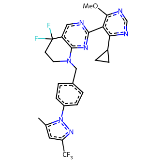 COc1ncnc(C2CC2)c1-c1ncc2c(n1)N(Cc1ccc(-n3nc(C(F)(F)F)cc3C)cc1)CCC2(F)F